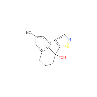 N#Cc1ccc2c(c1)CCCC2(O)c1ccns1